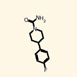 NC(=O)N1CCC(c2ccc(F)cc2)CC1